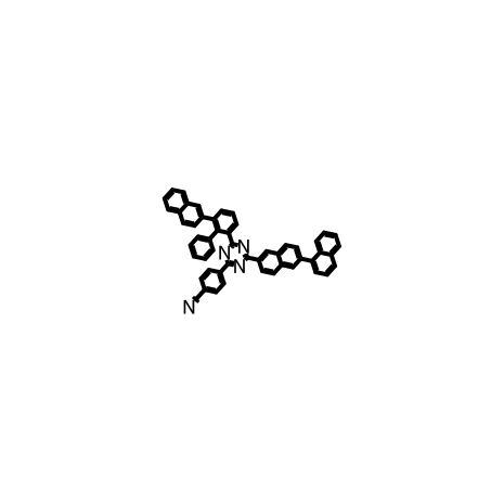 N#Cc1ccc(-c2nc(-c3ccc4cc(-c5cccc6ccccc56)ccc4c3)nc(-c3cccc(-c4ccc5ccccc5c4)c3-c3ccccc3)n2)cc1